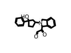 O=CC(=O)C1c2ccccc2CN1C1CCC(O)(c2ccccc2)C1